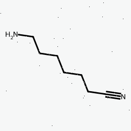 N#CCCCCCCN